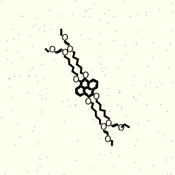 CCO/C=C/OCCCCCCOc1c(OCCCCCCO/C=C/OCC)c2cccc3c(OCCCCCCO/C=C/OCC)c(OCCCCCCO/C=C/OCC)c4cccc1c4c23